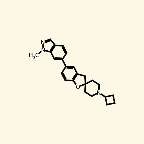 Cn1ncc2ccc(-c3ccc4c(c3)CC3(CCN(C5CCC5)CC3)O4)cc21